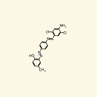 Cc1ccc(O)c(/N=N/c2ccc(N=Nc3cc(Cl)c(N)cc3Cl)cc2)c1